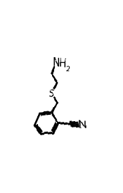 N#Cc1ccccc1CSCCN